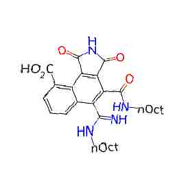 CCCCCCCCNC(=N)c1c(C(=O)NCCCCCCCC)c2c(c3c(C(=O)O)cccc13)C(=O)NC2=O